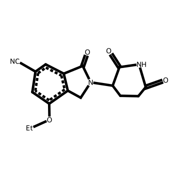 CCOc1cc(C#N)cc2c1CN(C1CCC(=O)NC1=O)C2=O